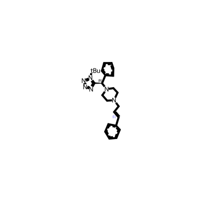 CC(C)(C)n1nnnc1[C@@H](c1ccccc1)N1CCN(C/C=C/c2ccccc2)CC1